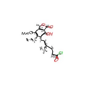 COc1c(C)c(C/C=C(\C)CCC(=O)Cl)c(O)c2c1COC2=O